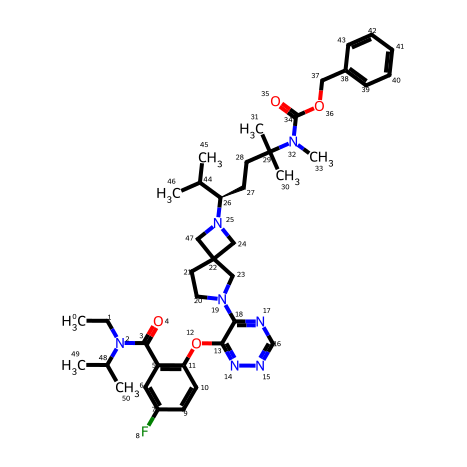 CCN(C(=O)c1cc(F)ccc1Oc1nncnc1N1CCC2(C1)CN([C@H](CCC(C)(C)N(C)C(=O)OCc1ccccc1)C(C)C)C2)C(C)C